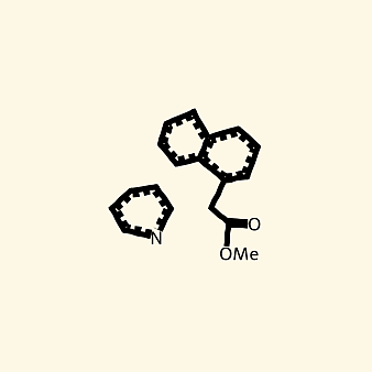 COC(=O)Cc1cccc2ccccc12.c1ccncc1